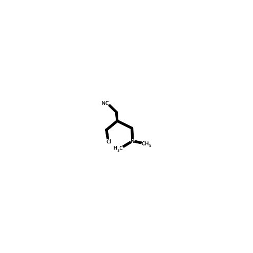 CN(C)CC(CCl)CC#N